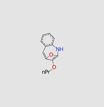 CCCOC1=C2Nc3ccccc3C=C1O2